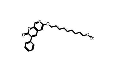 CCOCCCCCCCCCOc1cc2cc(-c3ccccc3)c(=O)oc2cn1